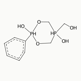 OC[PH]1(O)CO[PH](O)(c2ccccc2)OC1